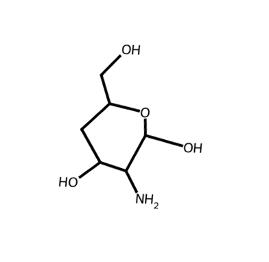 NC1C(O)CC(CO)OC1O